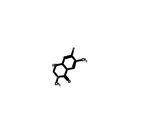 CC1=CC2C(=O)N(C)CNC2C=C1F